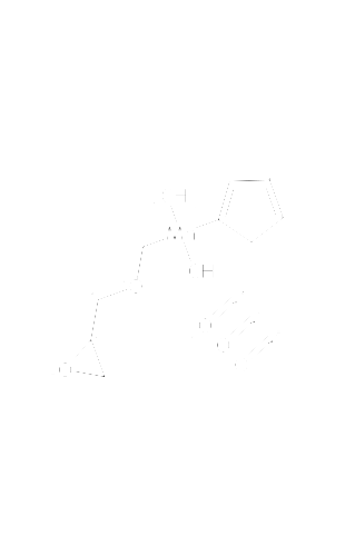 [CH3][Mn]([CH3])([CH2]OCC1CO1)[C]1=CC=CC1.[C]=O.[C]=O.[C]=O